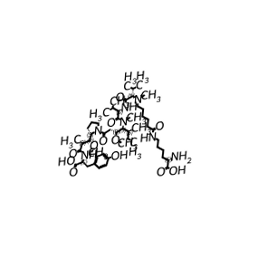 CC[C@H](C)[C@@H]([C@@H](CC(=O)N1CCC[C@H]1[C@H](OC)[C@@H](C)C(=O)N[C@@H](Cc1ccc(O)cc1)C(=O)O)OC)N(C)C(=O)[C@@H](NC(=O)[C@H](C(C)C)N(C)CCCCCC(=O)NCCCC[C@H](N)C(=O)O)C(C)C